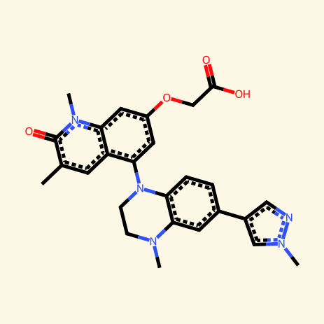 Cc1cc2c(N3CCN(C)c4cc(-c5cnn(C)c5)ccc43)cc(OCC(=O)O)cc2n(C)c1=O